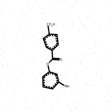 CC(C)(C)c1cccc(OC(=O)c2ccc(C(=O)O)cc2)c1